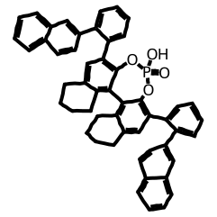 O=P1(O)Oc2c(-c3ccccc3-c3ccc4ccccc4c3)cc3c(c2-c2c4c(cc(-c5ccccc5-c5ccc6ccccc6c5)c2O1)CCCC4)CCCC3